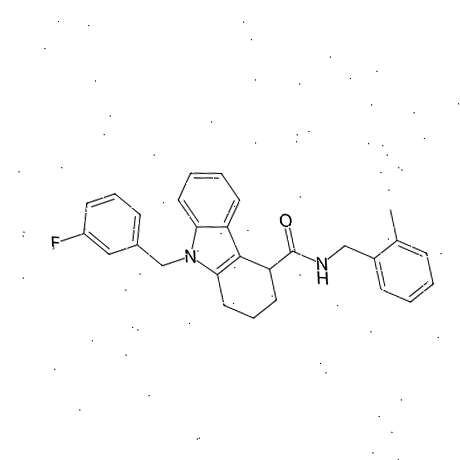 Cc1ccccc1CNC(=O)C1CCCc2c1c1ccccc1n2Cc1cccc(F)c1